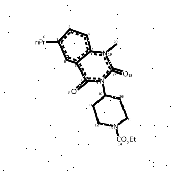 CCCc1ccc2c(c1)c(=O)n(C1CCN(C(=O)OCC)CC1)c(=O)n2C